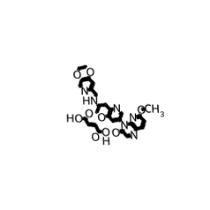 COc1ccc2ncc(=O)n(-c3cnc4c(c3)OCC(NCc3cc5c(cn3)OCCO5)C4)c2n1.O=C(O)C=CC(=O)O